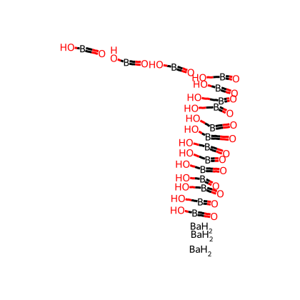 O=BO.O=BO.O=BO.O=BO.O=BO.O=BO.O=BO.O=BO.O=BO.O=BO.O=BO.O=BO.O=BO.O=BO.O=BO.O=BO.[BaH2].[BaH2].[BaH2]